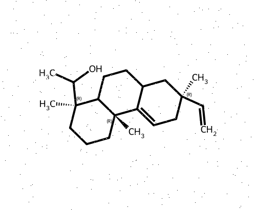 C=C[C@@]1(C)CC=C2C(CCC3[C@](C)(C(C)O)CCC[C@@]23C)C1